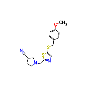 COc1ccc(CSc2cnc(CN3CCC(C#N)C3)s2)cc1